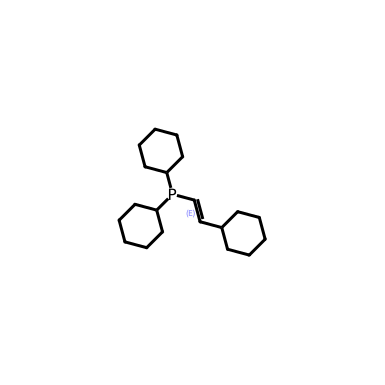 C(=C\P(C1CCCCC1)C1CCCCC1)/C1CCCCC1